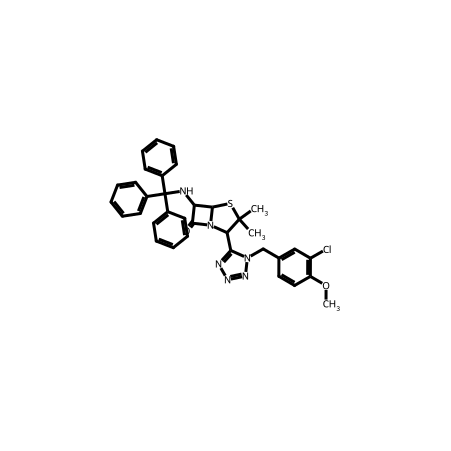 COc1ccc(Cn2nnnc2C2N3C(=O)C(NC(c4ccccc4)(c4ccccc4)c4ccccc4)C3SC2(C)C)cc1Cl